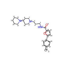 O=C(NCCCN1CCC(N2CCCCC2)CC1)c1ccc(-c2ccc(C(F)(F)F)cc2)o1